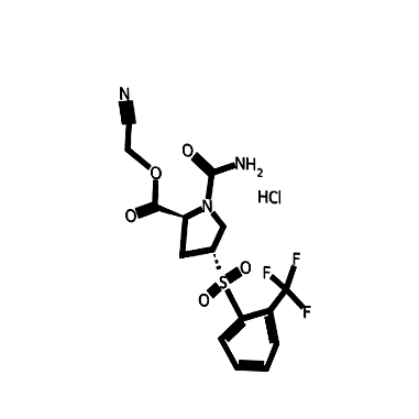 Cl.N#CCOC(=O)[C@@H]1C[C@@H](S(=O)(=O)c2ccccc2C(F)(F)F)CN1C(N)=O